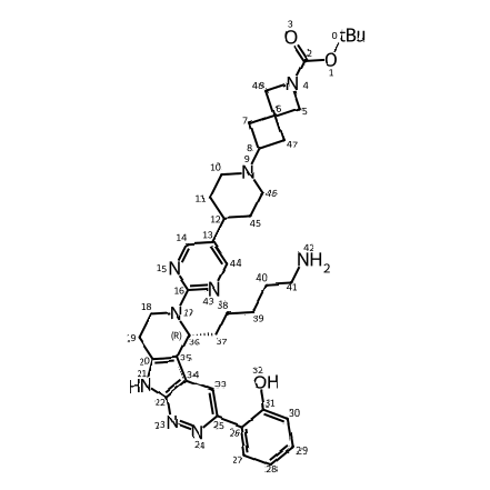 CC(C)(C)OC(=O)N1CC2(CC(N3CCC(c4cnc(N5CCc6[nH]c7nnc(-c8ccccc8O)cc7c6[C@H]5CCCCCN)nc4)CC3)C2)C1